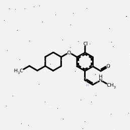 CCCC1CCC(Oc2cc(/C=C\NC)c(C=O)cc2Cl)CC1